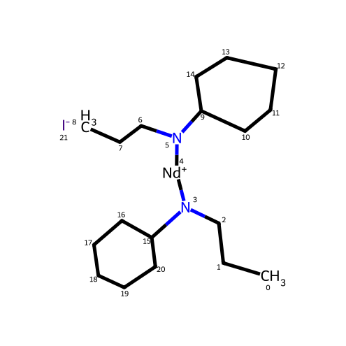 CCC[N]([Nd+][N](CCC)C1CCCCC1)C1CCCCC1.[I-]